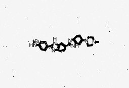 CN1CCN(c2ccc3nc(-c4ccc5nc(-c6ccc(NC(C)(C)C)cc6)[nH]c5c4)[nH]c3c2)CC1